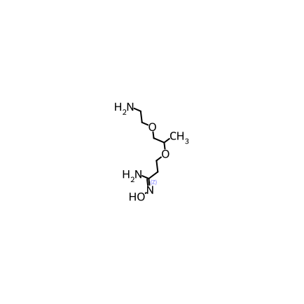 CC(COCCN)OCC/C(N)=N/O